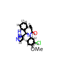 C#CC(=O)N(c1ccc(OC)c(Cl)c1)C(c1ccccc1)c1ccn[nH]1